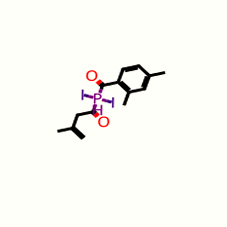 C=C(C)CC(=O)[PH](I)(I)C(=O)c1ccc(C)cc1C